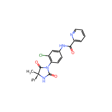 CC(C)[C@]1(C)NC(=O)N(c2ccc(NC(=O)c3ccccn3)cc2Cl)C1=O